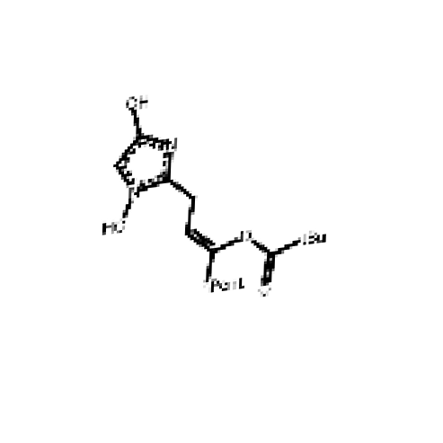 CCCCCC(=CCc1nc(O)cn1O)OC(=O)C(C)(C)C